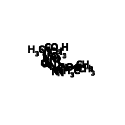 C[C@@H]1CN(c2cccc(CNc3ncnc4c3c(C3=CCOCC3)cn4COCC[Si](C)(C)C)n2)C[C@@H](C)N1C(=O)O